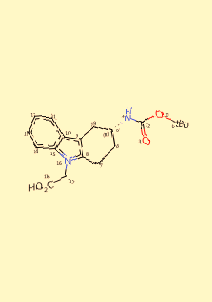 CC(C)(C)OC(=O)N[C@@H]1CCc2c(c3ccccc3n2CC(=O)O)C1